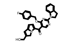 O=C(c1cnc(N2CCc3ccccc32)nc1OCc1ccc(F)cc1)c1ccc2n1CC(CO)=C2